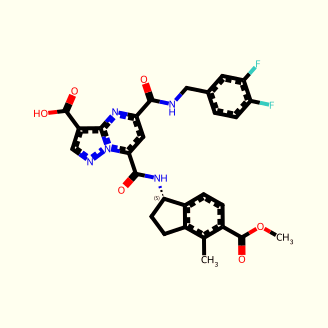 COC(=O)c1ccc2c(c1C)CC[C@@H]2NC(=O)c1cc(C(=O)NCc2ccc(F)c(F)c2)nc2c(C(=O)O)cnn12